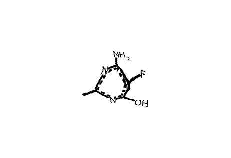 Cc1nc(N)c(F)c(O)n1